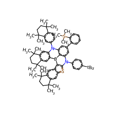 CC(C)(C)c1ccc(N2c3cc(-c4ccccc4S(C)(C)C)cc4c3B(c3cc5c(cc3N4c3ccc4c(c3)C(C)(C)CCC4(C)C)C(C)(C)CCC5(C)C)c3c2sc2cc4c(cc32)C(C)(C)CCC4(C)C)cc1